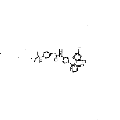 CCC(F)(F)c1ccc(CC(=O)Nc2ccc(-c3nccc(=O)n3-c3ccc(F)cc3Cl)cc2)cc1